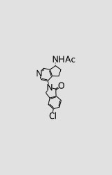 CC(=O)N[C@@H]1CCc2c1cncc2N1Cc2cc(Cl)ccc2C1=O